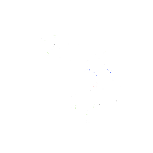 O=c1c2ccccc2nc(-c2cccs2)n1N(Cc1ccc(C(F)(F)F)cc1)Cc1ccc(C(F)(F)F)cc1